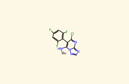 CCC(C)Nc1c(-c2c(F)cc(F)cc2F)c(Cl)nc2ncnn12